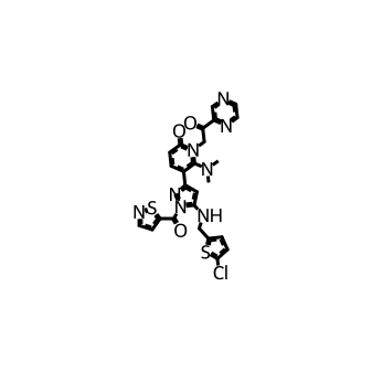 CN(C)c1c(-c2cc(NCc3ccc(Cl)s3)n(C(=O)c3ccns3)n2)ccc(=O)n1CC(=O)c1cnccn1